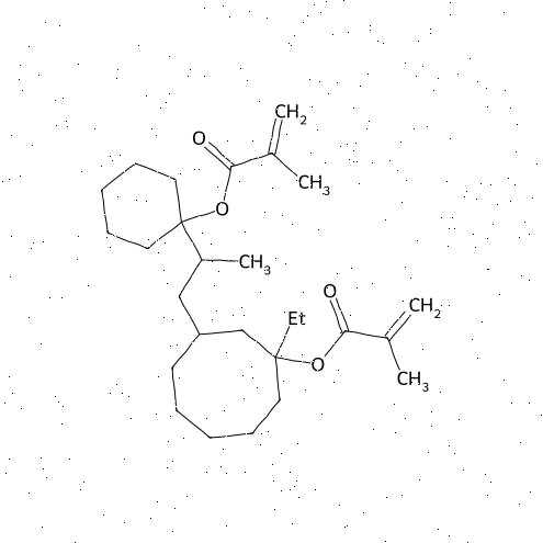 C=C(C)C(=O)OC1(CC)CCCCCC(CC(C)C2(OC(=O)C(=C)C)CCCCC2)C1